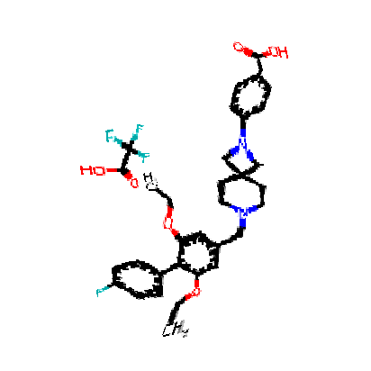 CCOc1cc(CN2CCC3(CC2)CN(c2ccc(C(=O)O)cc2)C3)cc(OCC)c1-c1ccc(F)cc1.O=C(O)C(F)(F)F